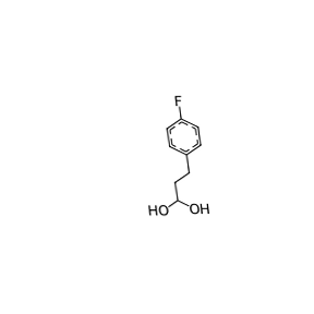 OC(O)CCc1ccc(F)cc1